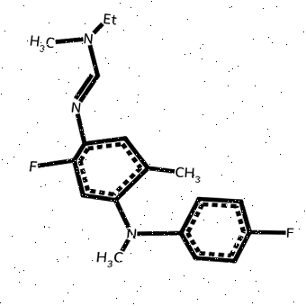 CCN(C)C=Nc1cc(C)c(N(C)c2ccc(F)cc2)cc1F